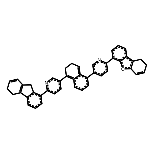 C1=CC2=C(CC1)c1cccc(-c3ccc(C4=c5cccc(-c6ccc(-c7cccc8c9c(oc78)C=CCC9)nc6)c5=CCC4)cn3)c1C2